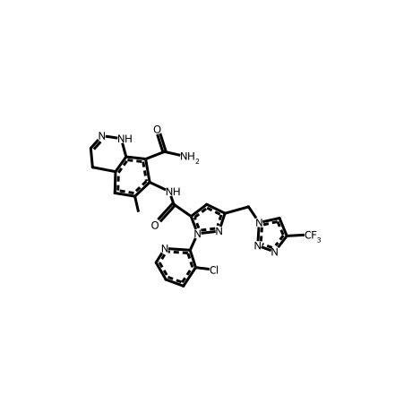 Cc1cc2c(c(C(N)=O)c1NC(=O)c1cc(Cn3cc(C(F)(F)F)nn3)nn1-c1ncccc1Cl)NN=CC2